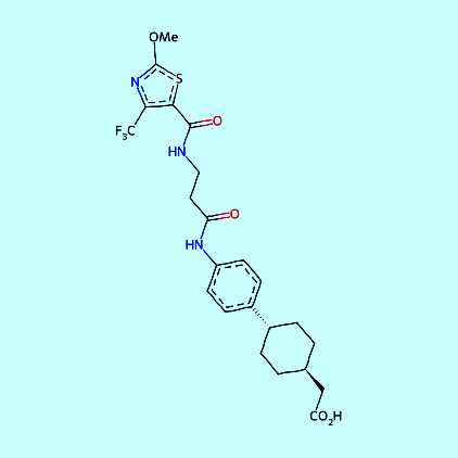 COc1nc(C(F)(F)F)c(C(=O)NCCC(=O)Nc2ccc([C@H]3CC[C@H](CC(=O)O)CC3)cc2)s1